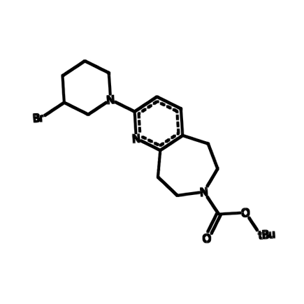 CC(C)(C)OC(=O)N1CCc2ccc(N3CCCC(Br)C3)nc2CC1